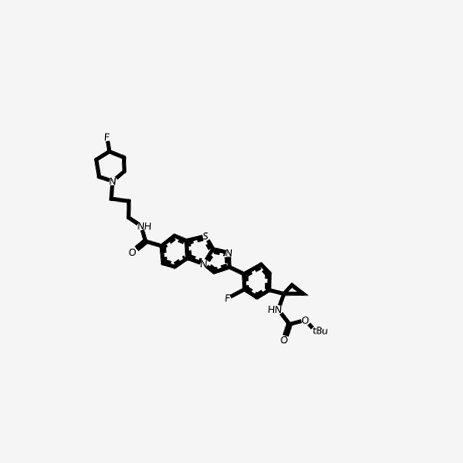 CC(C)(C)OC(=O)NC1(c2ccc(-c3cn4c(n3)sc3cc(C(=O)NCCCN5CCC(F)CC5)ccc34)c(F)c2)CC1